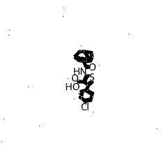 O=C(O)c1c(-c2ccc(Cl)cc2)csc1NC(=O)C12CC3CC(CC(C3)C1)C2